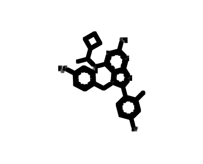 Cc1cc(Br)ccc1-c1nc2nc(C#N)nc(NC(C)C3CCC3)c2n1Cc1ccc(C(F)(F)F)cc1